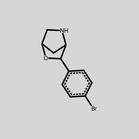 Brc1ccc(C2OC3CNC2C3)cc1